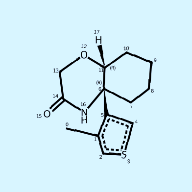 Cc1cscc1[C@]12CCCC[C@H]1OCC(=O)N2